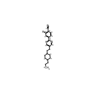 CCCC1CCC(CCc2cnc(-c3ccc(C#N)c(F)c3)nc2)CC1